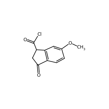 COc1ccc2c(c1)C(C(=O)Cl)CC2=O